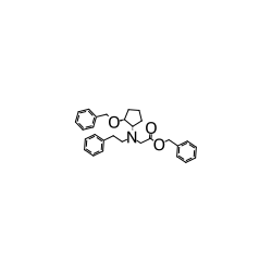 O=C(CN(CCc1ccccc1)[C@H]1CCC[C@@H]1OCc1ccccc1)OCc1ccccc1